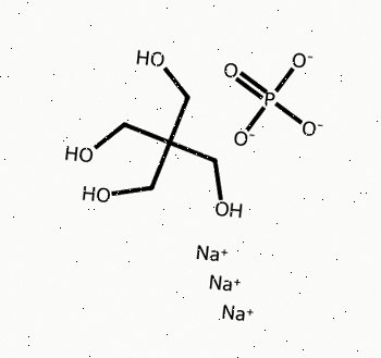 O=P([O-])([O-])[O-].OCC(CO)(CO)CO.[Na+].[Na+].[Na+]